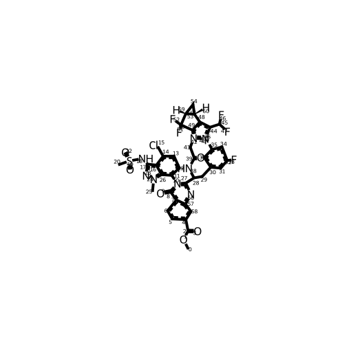 COC(=O)c1ccc2c(=O)n(-c3ccc(Cl)c4c(NS(C)(=O)=O)nn(C)c34)c(C(Cc3cc(F)cc(F)c3)NC(=O)Cn3nc(C(F)F)c4c3C(F)(F)[C@@H]3C[C@H]43)nc2c1